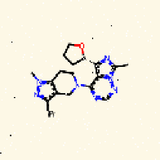 Cc1nc([C@@H]2CCCO2)c2c(N3CCc4c(c(C(C)C)nn4C)C3)ncnn12